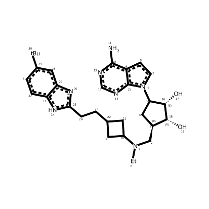 CCN(C[C@H]1CC(n2ccc3c(N)ncnc32)[C@H](O)[C@@H]1O)C1CC(CCc2nc3cc(C(C)(C)C)ccc3[nH]2)C1